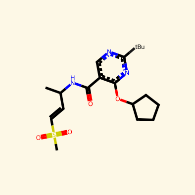 CC(C=CS(C)(=O)=O)NC(=O)c1cnc(C(C)(C)C)nc1OC1CCCC1